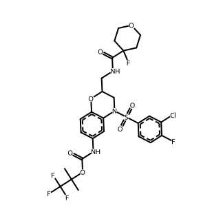 CC(C)(OC(=O)Nc1ccc2c(c1)N(S(=O)(=O)c1ccc(F)c(Cl)c1)CC(CNC(=O)C1(F)CCOCC1)O2)C(F)(F)F